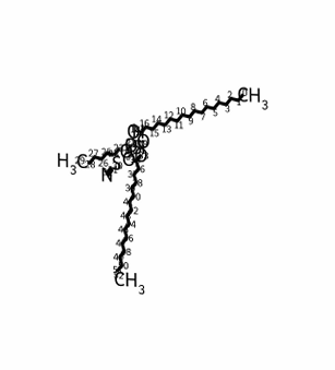 CCCCCCCCCCCCCCCCCC(=O)O[SiH](OOCC(CCCCC)SC#N)OC(=O)CCCCCCCCCCCCCCCCC